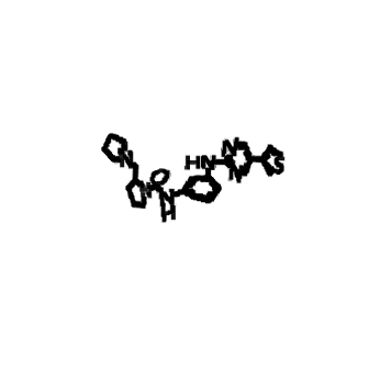 O=C(Nc1cccc(Nc2ncc(-c3ccsc3)cn2)c1)N1CCCC1CN1CCCC1